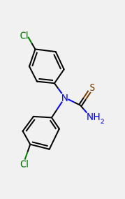 NC(=S)N(c1ccc(Cl)cc1)c1ccc(Cl)cc1